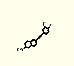 CCCC1CCc2cc(C#Cc3ccc(F)c(F)c3)ccc2C1